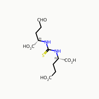 O=CCC[C@H](NC(=S)N[C@@H](CCC(=O)O)C(=O)O)C(=O)O